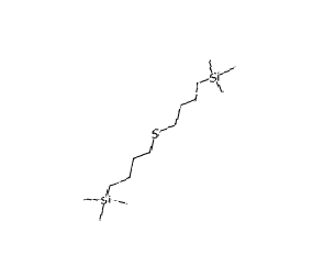 C[Si](C)(C)CCCCSCCCC[Si](C)(C)C